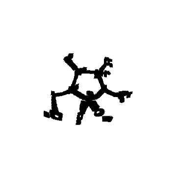 CC(C)C1[NH+]([O-])N(C)N(CCl)S1(=O)=O